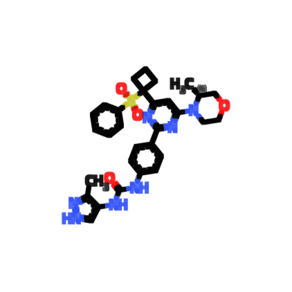 Cc1n[nH]cc1NC(=O)Nc1ccc(-c2nc(N3CCOC[C@@H]3C)cc(C3(S(=O)(=O)c4ccccc4)CCC3)n2)cc1